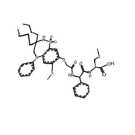 CCCCC1(CCCC)CN(c2ccccc2)c2cc(SC)c(OCC(=O)NC(C(=O)N[C@@H](CSC)C(=O)O)c3ccccc3)cc2S(=O)(=O)N1